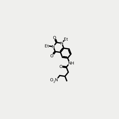 CCn1c(=O)c2cc(NC(=O)CC(C)C[N+](=O)[O-])ccc2n(CC)c1=O